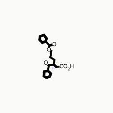 O=C(O)/C=C(\CCCOC(=O)c1ccccc1)C(=O)c1ccccc1